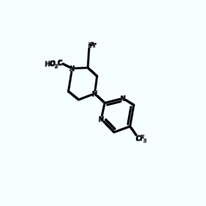 CC(C)C1CN(c2ncc(C(F)(F)F)cn2)CCN1C(=O)O